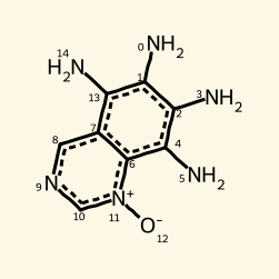 Nc1c(N)c(N)c2c(cnc[n+]2[O-])c1N